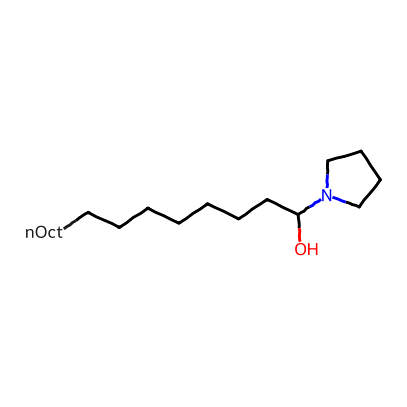 CCCCCCCCCCCCCCCC(O)N1CCCC1